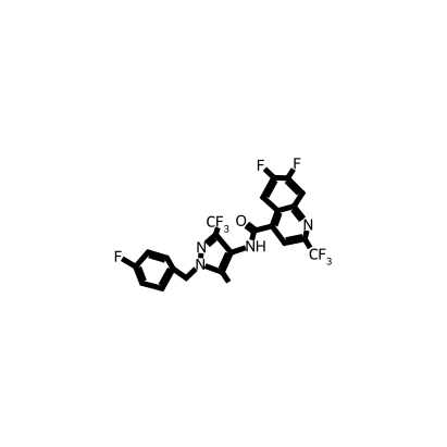 Cc1c(NC(=O)c2cc(C(F)(F)F)nc3cc(F)c(F)cc23)c(C(F)(F)F)nn1Cc1ccc(F)cc1